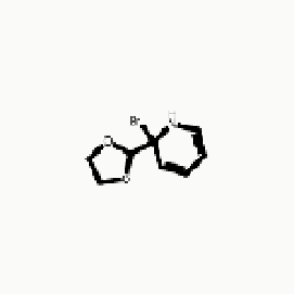 BrC1(C2OCCO2)C=CC=CN1